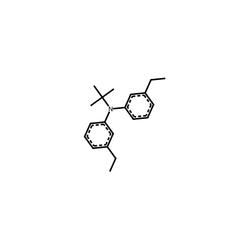 CCc1cccc(N(c2cccc(CC)c2)C(C)(C)C)c1